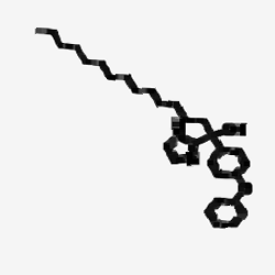 CCCCCCCCCCCCCCC(O)(c1ccc(Oc2ccccc2)cc1)c1ncc[nH]1